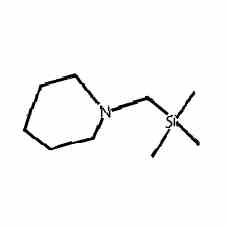 C[Si](C)(C)CN1CCCCC1